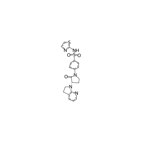 O=C1[C@@H](N2CCc3cccnc32)CCN1c1ccc(S(=O)(=O)Nc2nccs2)cc1